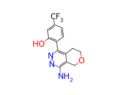 Nc1nnc(-c2ccc(C(F)(F)F)cc2O)c2c1COCC2